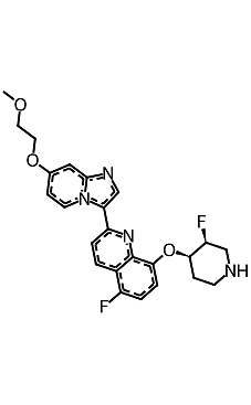 COCCOc1ccn2c(-c3ccc4c(F)ccc(O[C@@H]5CCNC[C@@H]5F)c4n3)cnc2c1